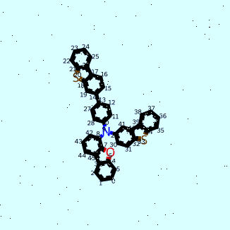 c1ccc2c(c1)oc1c(N(c3ccc(-c4ccc5c(c4)sc4ccccc45)cc3)c3ccc4sc5ccccc5c4c3)cccc12